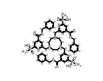 CP(=O)(O)c1cc(C(=O)OCc2ccccc2)cc(CN2CCN(Cc3cc(C(=O)OCc4ccccc4)cc(P(C)(=O)O)n3)CCN(Cc3cc(C(=O)OCc4ccccc4)cc(P(C)(=O)O)n3)CC2)n1